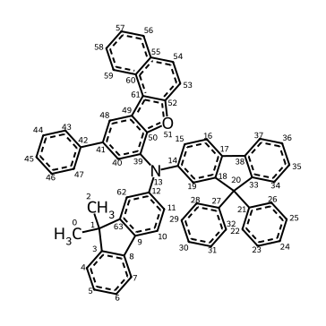 CC1(C)c2ccccc2-c2ccc(N(c3ccc4c(c3)C(c3ccccc3)(c3ccccc3)c3ccccc3-4)c3cc(-c4ccccc4)cc4c3oc3ccc5ccccc5c34)cc21